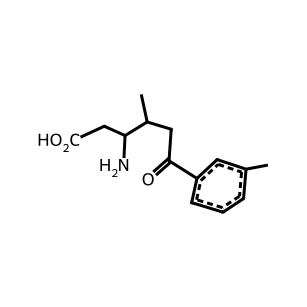 Cc1cccc(C(=O)CC(C)C(N)CC(=O)O)c1